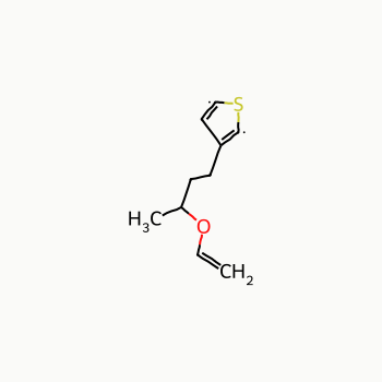 C=COC(C)CCc1[c]s[c]c1